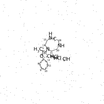 Cl.Cl.Cl.[CH3][Ti]([CH3])([O]c1ccccc1)[N]1CCNCCNCC1